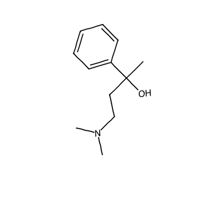 CN(C)CCC(C)(O)c1ccccc1